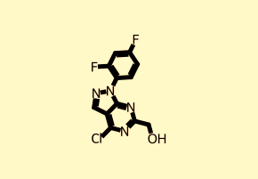 OCc1nc(Cl)c2cnn(-c3ccc(F)cc3F)c2n1